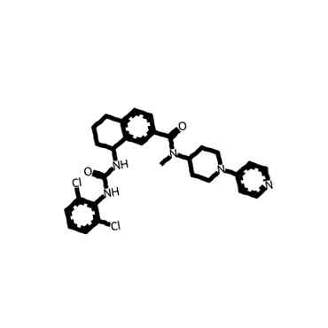 CN(C(=O)c1ccc2c(c1)C(NC(=O)Nc1c(Cl)cccc1Cl)CCC2)C1CCN(c2ccncc2)CC1